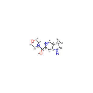 O=C(c1cc2c(cn1)C1(CC1)CN2)N1CCOCC1